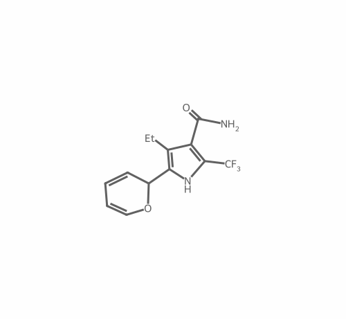 CCc1c(C2C=CC=CO2)[nH]c(C(F)(F)F)c1C(N)=O